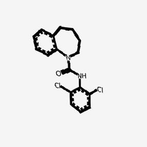 O=C(Nc1c(Cl)cccc1Cl)N1CCCCc2ccccc21